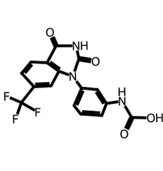 O=C(O)Nc1cccc(-n2c(=O)[nH]c(=O)c3ccc(C(F)(F)F)cc32)c1